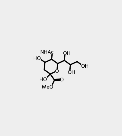 COC(=O)C1(O)CC(O)C(NC(C)=O)C(C(O)C(O)CO)O1